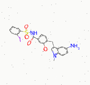 COc1cc(C(=O)NS(=O)(=O)c2ccccc2I)ccc1Cc1cn(C)c2ccc(N)cc12